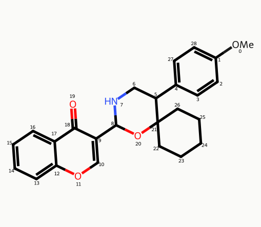 COc1ccc(C2CNC(c3coc4ccccc4c3=O)OC23CCCCC3)cc1